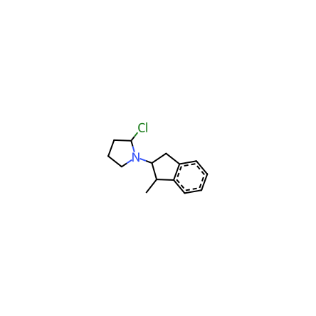 CC1c2ccccc2CC1N1CCCC1Cl